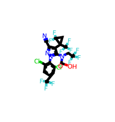 N#Cc1nn(-c2c(Cl)cc(C(F)(F)F)cc2Cl)c(N(CC(F)(F)F)C(=O)O)c1C1(C(F)(F)F)CC1(F)F